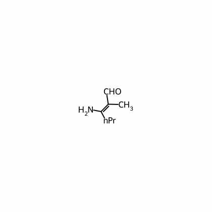 CCCC(N)=C(C)C=O